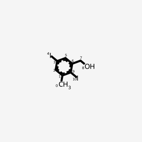 Cc1cc(I)cc(CO)c1I